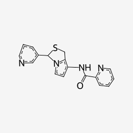 O=C(Nc1ccn2c1CSC2c1cccnc1)c1ccccn1